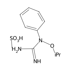 CC(C)ON(C(=N)N)c1ccccc1.CS(=O)(=O)O